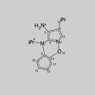 CC(C)c1cn2c(c1N)N(C(C)C)c1ccccc1O2